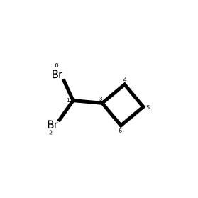 BrC(Br)C1CCC1